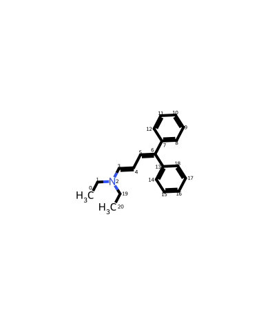 CCN(C=CC=C(c1ccccc1)c1ccccc1)CC